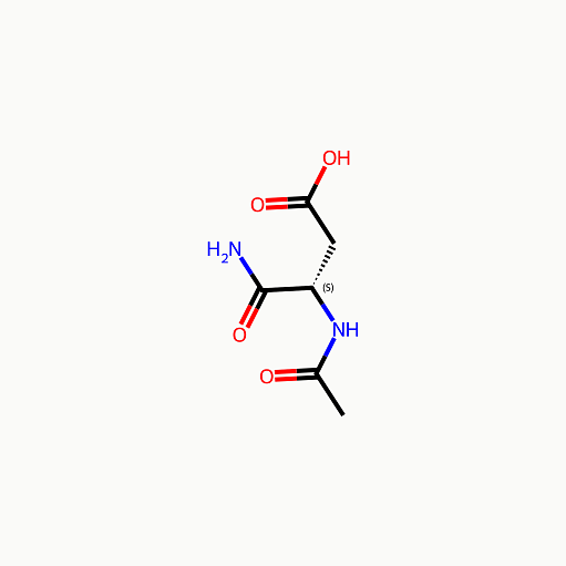 CC(=O)N[C@@H](CC(=O)O)C(N)=O